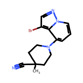 CC1(C#N)CCN(c2cccn3ncc(Br)c23)CC1